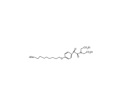 CCCCCCCCCCCCCCCCCCOc1ccc(C(=O)C(=O)N(CC(=O)OCC)CC(=O)OCC)cc1